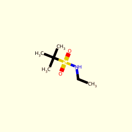 C[CH]NS(=O)(=O)C(C)(C)C